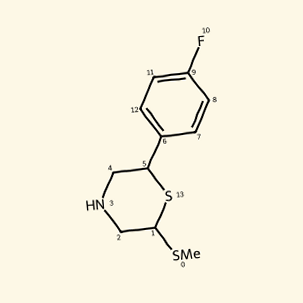 CSC1CNCC(c2ccc(F)cc2)S1